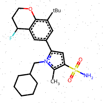 Cc1c(S(N)(=O)=O)cc(-c2cc3c(c(C(C)(C)C)c2)OCCC3F)n1CC1CCCCC1